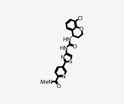 CNC(=O)c1ccc(-c2nc(NC(=O)N[C@H]3CCOc4c(Cl)cccc43)cs2)cn1